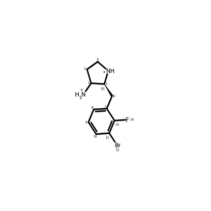 NC1CCN[C@H]1Cc1cccc(Br)c1F